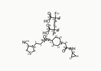 N#CC1CSCN1CCn1on1C1CCN(CC(=O)NC2CC2)CC1.O=C(O)C(F)(F)F.O=C(O)C(F)(F)F